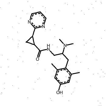 Cc1cc(O)cc(C)c1CC(CNC(=O)C1CC1c1ncccn1)N(C)C